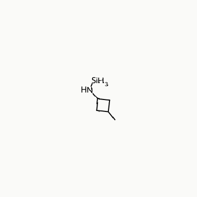 CC1CC(N[SiH3])C1